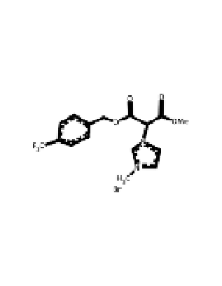 COC(=O)C(C(=O)OCc1ccc(C(F)(F)F)cc1)n1cc[n+](C)c1.[Br-]